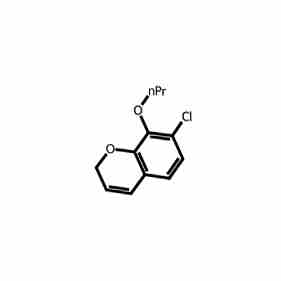 CCCOc1c(Cl)ccc2c1OCC=C2